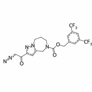 [N-]=[N+]=CC(=O)c1cc2n(n1)CCCN(C(=O)OCc1cc(C(F)(F)F)cc(C(F)(F)F)c1)C2